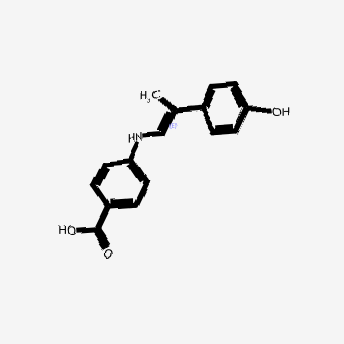 C/C(=C\Nc1ccc(C(=O)O)cc1)c1ccc(O)cc1